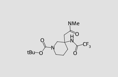 CNC(=O)CC1(NC(=O)C(F)(F)F)CCCN(C(=O)OC(C)(C)C)C1